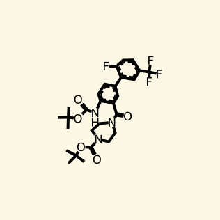 CC(C)(C)OC(=O)Nc1ccc(-c2cc(C(F)(F)F)ccc2F)cc1C(=O)N1CCN(C(=O)OC(C)(C)C)CC1